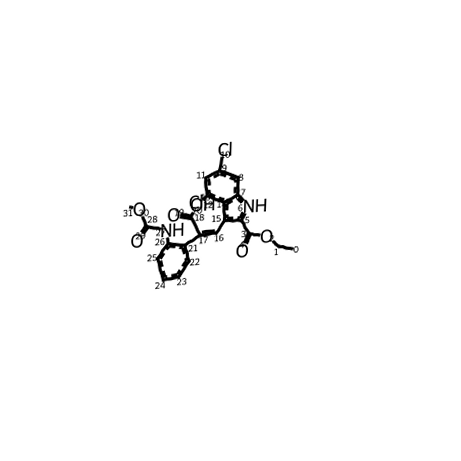 CCOC(=O)c1[nH]c2cc(Cl)cc(Cl)c2c1C=C(C(=O)O)c1ccccc1NC(=O)OC